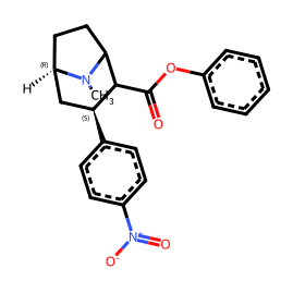 CN1C2CC[C@@H]1C[C@H](c1ccc([N+](=O)[O-])cc1)C2C(=O)Oc1ccccc1